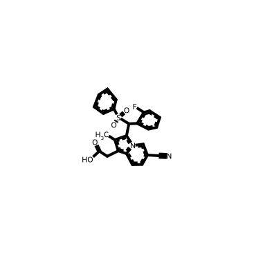 Cc1c(CC(=O)O)c2ccc(C#N)cn2c1C(c1ccccc1F)S(=O)(=O)c1ccccc1